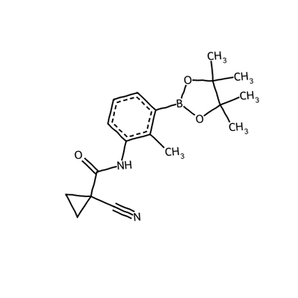 Cc1c(NC(=O)C2(C#N)CC2)cccc1B1OC(C)(C)C(C)(C)O1